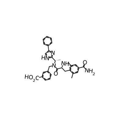 Cc1cc(C(N)=O)cc(C)c1C[C@H](N)C(=O)N(Cc1cccc(C(=O)O)c1)[C@@H](C)c1nc(-c2ccccc2)c[nH]1